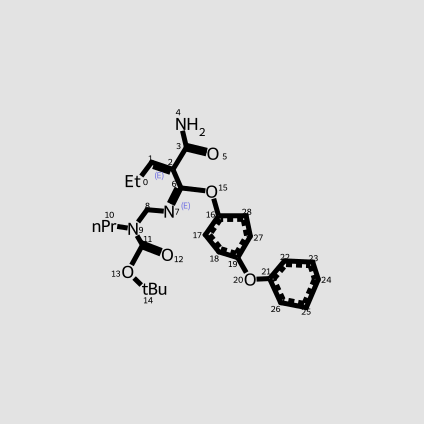 CC/C=C(C(N)=O)\C(=N/CN(CCC)C(=O)OC(C)(C)C)Oc1ccc(Oc2ccccc2)cc1